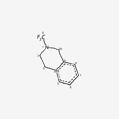 FC(F)(F)N1CCc2ccccc2C1